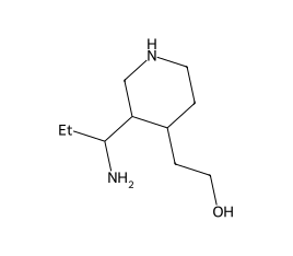 CCC(N)C1CNCCC1CCO